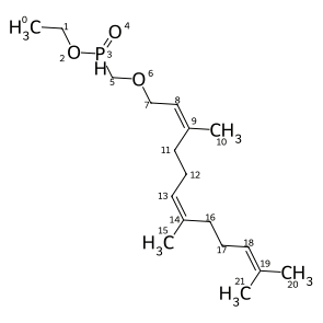 CCO[PH](=O)COCC=C(C)CCC=C(C)CCC=C(C)C